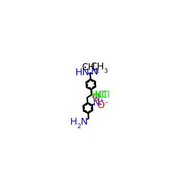 C/N=C(\NC)c1ccc(CCc2ccc(CN)cc2[N+](=O)[O-])cc1.Cl.Cl